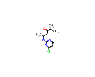 CC(CC(=O)C(C)C)Nc1nccc(Cl)n1